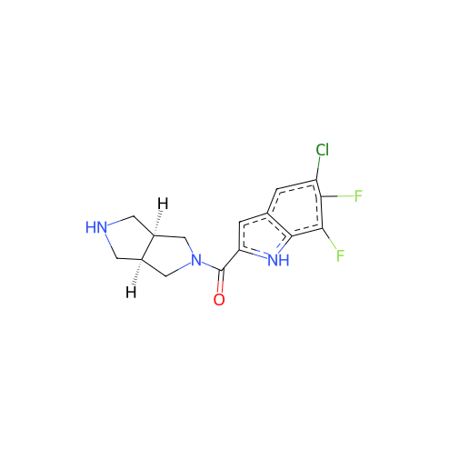 O=C(c1cc2cc(Cl)c(F)c(F)c2[nH]1)N1C[C@H]2CNC[C@H]2C1